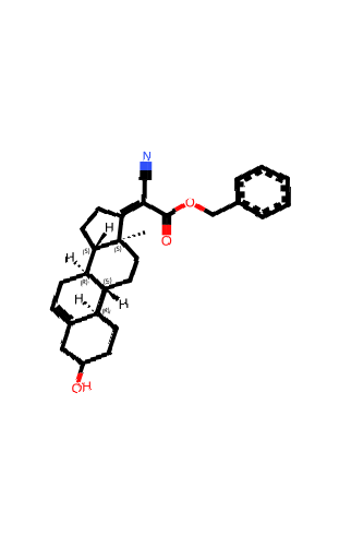 C[C@]12CC[C@H]3[C@@H](CC=C4CC(O)CC[C@@H]43)[C@@H]1CCC2=C(C#N)C(=O)OCc1ccccc1